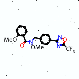 COc1ccccc1C(=O)N(Cc1ccc(-c2noc(C(F)(F)F)n2)cc1)OC